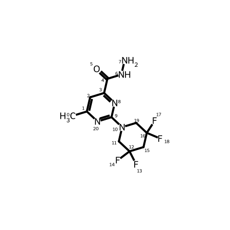 Cc1cc(C(=O)NN)nc(N2CC(F)(F)CC(F)(F)C2)n1